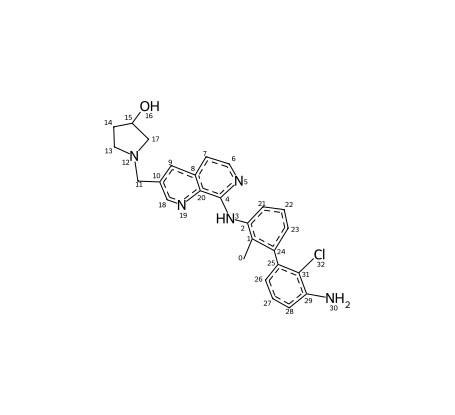 Cc1c(Nc2nccc3cc(CN4CCC(O)C4)cnc23)cccc1-c1cccc(N)c1Cl